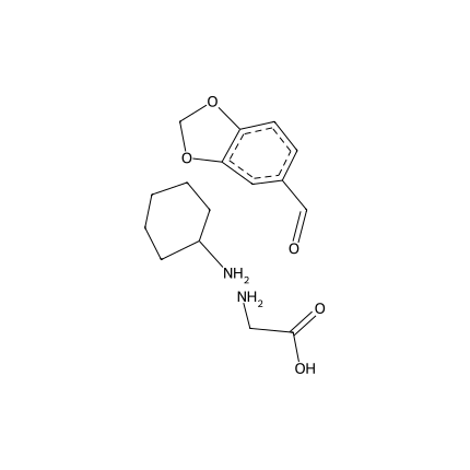 NC1CCCCC1.NCC(=O)O.O=Cc1ccc2c(c1)OCO2